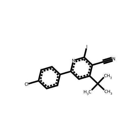 CC(C)(C)c1cc(-c2ccc(Cl)cc2)nc(I)c1C#N